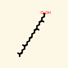 CC(C)=CCC/C(C)=C/CC/C=C/CC/C=C(\C)CC/C=C(\C)CCC(=O)O